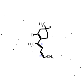 C/C=C\C=C(/C)C1=C(CC)CC(C)(F)CC1